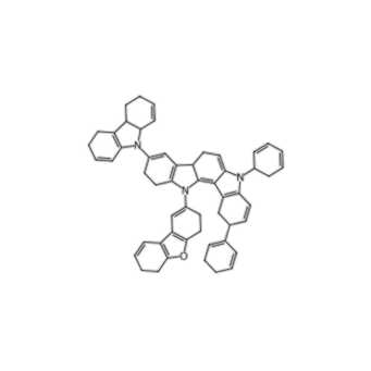 C1=CCC(n2c3c(c4c2=CCC2C5=C(CCC(N6C7=C(CCC=C7)C7CCC=CC76)=C5)N(C5=Cc6c(oc7c6C=CCC7)CC5)C=42)CC(C2=CCCC=C2)C=C3)C=C1